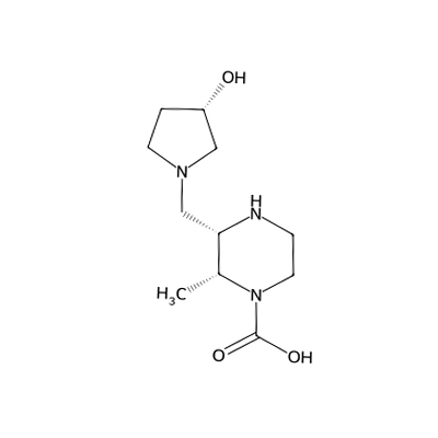 C[C@@H]1[C@H](CN2CC[C@H](O)C2)NCCN1C(=O)O